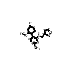 CCOc1cc(F)ccc1-c1cnc(N)nc1NCc1ccon1